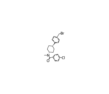 CN(C(=O)c1ccc(Cl)cc1)[C@H]1CC[C@H](c2ccc(CBr)cc2)CC1